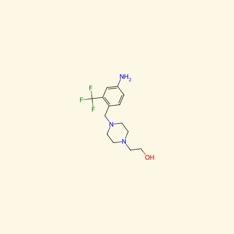 Nc1ccc(CN2CCN(CCO)CC2)c(C(F)(F)F)c1